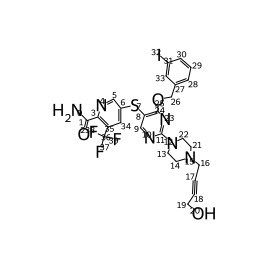 NC(=O)c1ncc(Sc2cnc(N3CCN(CC#CCO)CC3)nc2OCc2cccc(I)c2)cc1C(F)(F)F